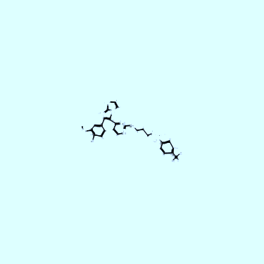 COc1cc(-c2nc3sccn3c2-c2ccnc(NCCCNS(=O)(=O)c3ccc(C(F)(F)F)cc3)n2)ccc1F